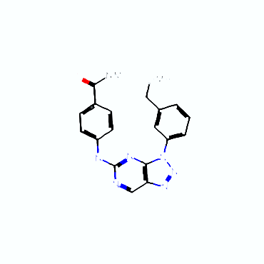 CNC(=O)c1ccc(Nc2ncc3nnn(-c4cccc(COC)c4)c3n2)cc1